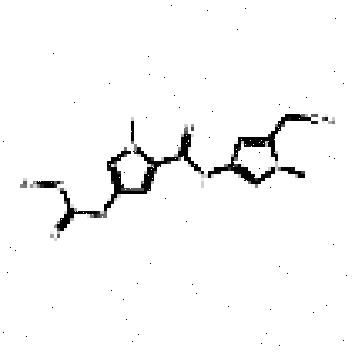 COCc1cc(NC(=O)c2cc(NC(=O)OC(C)(C)C)cn2C)cn1C